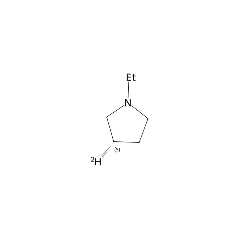 [2H][C@H]1CCN(CC)C1